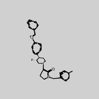 Cc1ccc(CN2CCC(N3CC[C@H](c4ccc(OCc5ccccc5)cc4)[C@@H](F)C3)C2=O)cc1